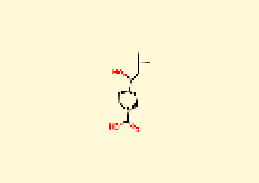 CC(C)(C)CC(O)c1ccc(C(=O)O)cc1